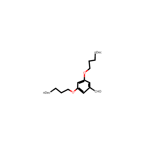 CCCCCCCCCCCCCOc1cc(C=O)cc(OCCCCCCCCCCCCC)c1